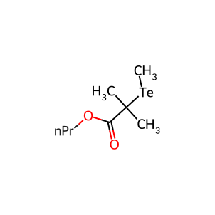 CCCOC(=O)C(C)(C)[Te]C